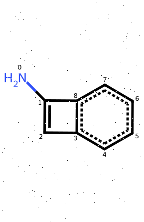 NC1=Cc2ccccc21